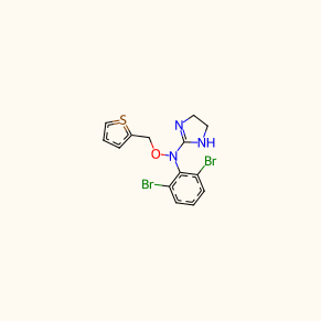 Brc1cccc(Br)c1N(OCc1cccs1)C1=NCCN1